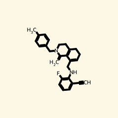 C#Cc1cccc(F)c1NCC1=CCCC2=C1C(=C)N(Cc1ccc(C)cc1)CC2